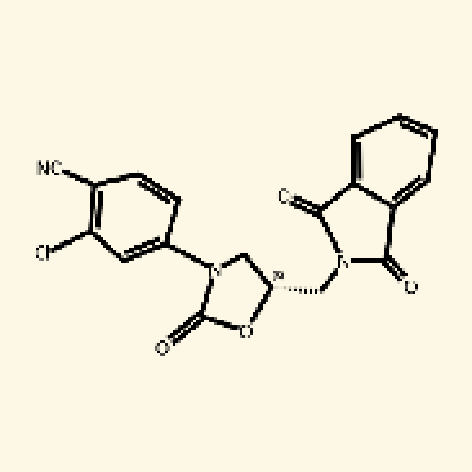 N#Cc1ccc(N2C[C@H](CN3C(=O)c4ccccc4C3=O)OC2=O)cc1Cl